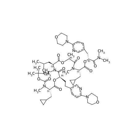 CC(C)C[C@@H](C(=O)O[C@H](C)C(=O)N(C)[C@@H](CC1CC1)C(=O)O[C@H](Cc1ccc(N2CCOCC2)nc1)C(=O)N(C)C)N(C)C(=O)[C@@H](CCc1ccc(N2CCOCC2)nc1)OC(=O)[C@H](CC1CC1)N(C)C(=O)OC(C)(C)C